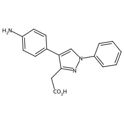 Nc1ccc(-c2cn(-c3ccccc3)nc2CC(=O)O)cc1